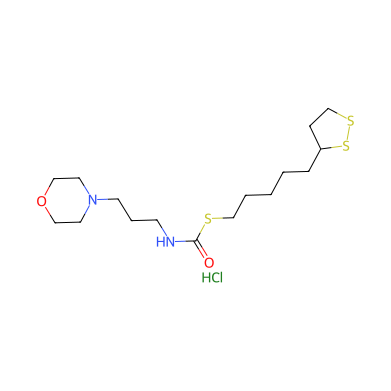 Cl.O=C(NCCCN1CCOCC1)SCCCCCC1CCSS1